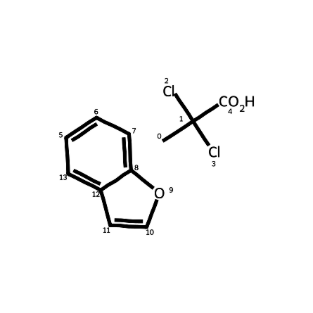 CC(Cl)(Cl)C(=O)O.c1ccc2occc2c1